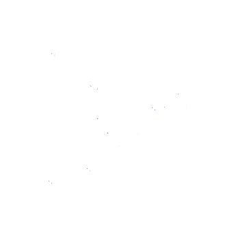 COc1nc(C#N)cc2c1C1(O)C(O)C(CN3CCC34CC4(F)F)C(c3ccccc3)C1(c1ccc(C#N)cc1)O2